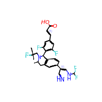 CC1Cc2cc(/C(C=N)=C/NC(F)F)ccc2C(c2c(F)cc(/C=C/C(=O)O)cc2F)N1CC(C)(C)F